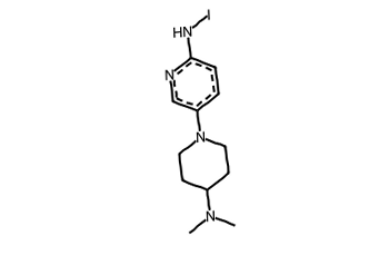 CN(C)C1CCN(c2ccc(NI)nc2)CC1